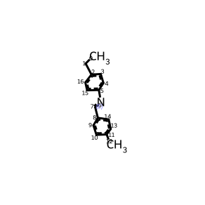 CCc1ccc(/N=C/c2ccc(C)cc2)cc1